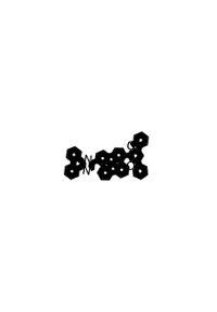 c1ccc2c(c1)-c1ccccc1C21c2cc(-c3cnc4c5ccccc5c5ccccc5c4n3)ccc2-c2ccc(-c3c4oc5ccccc5c4cc4c3oc3ccccc34)cc21